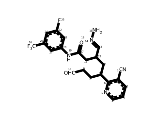 N#Cc1cccnc1C(CCC=O)CC(C=NN)CC(=O)Nc1cc(F)cc(C(F)(F)F)c1